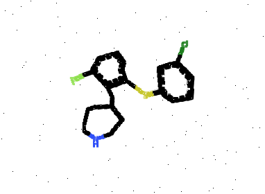 Fc1cccc(Sc2cccc(Cl)c2)c1C1CCNCC1